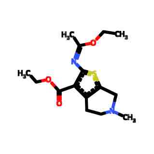 CCOC(=O)c1c(N=C(C)OCC)sc2c1CCN(C)C2